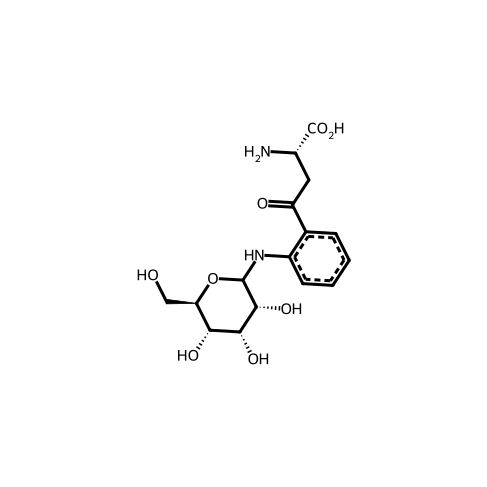 N[C@@H](CC(=O)c1ccccc1NC1O[C@H](CO)[C@@H](O)[C@@H](O)[C@H]1O)C(=O)O